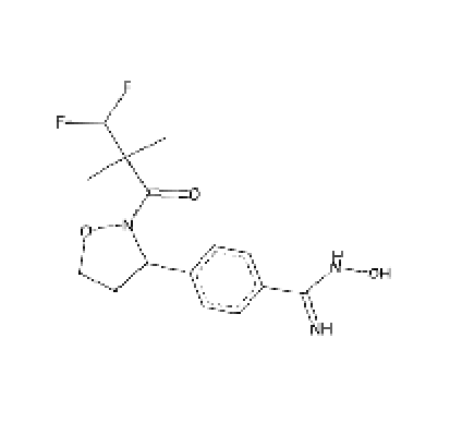 CC(C)(C(=O)N1OCCC1c1ccc(C(=N)NO)cc1)C(F)F